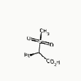 CC[C@H](C(=O)O)S(C)(=O)=O